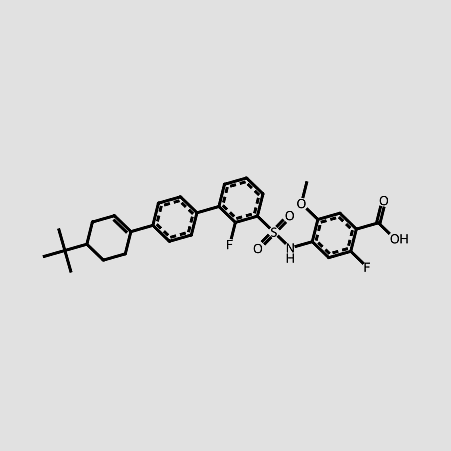 COc1cc(C(=O)O)c(F)cc1NS(=O)(=O)c1cccc(-c2ccc(C3=CCC(C(C)(C)C)CC3)cc2)c1F